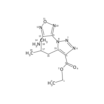 CCOC(=O)c1nnn(-c2nonc2N)c1CC(C)C